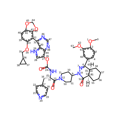 COc1ccc(C2=NN(C3CCN(C(=O)[C@H](Cc4ccncc4)NC(=O)Oc4c[nH]c5c(-c6c(OCC7CC7)ccc7c6OCO7)ncnc45)CC3)C(=O)[C@@H]3CCCC[C@H]23)cc1OC